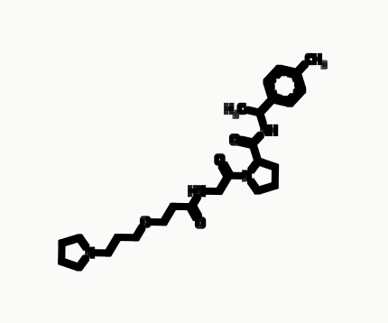 Cc1ccc(C(C)NC(=O)C2CCCN2C(=O)CNC(=O)CCOCCCN2CCCC2)cc1